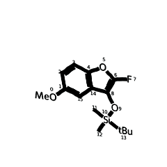 COc1ccc2oc(F)c(O[Si](C)(C)C(C)(C)C)c2c1